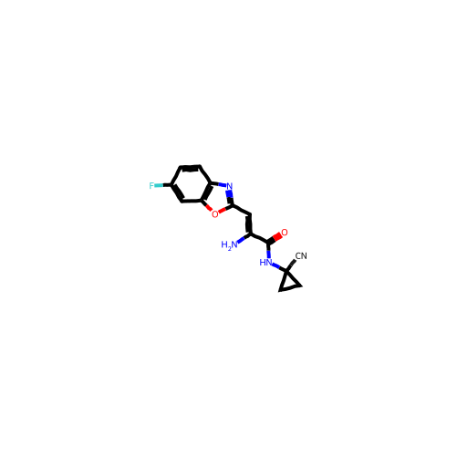 N#CC1(NC(=O)C(N)=Cc2nc3ccc(F)cc3o2)CC1